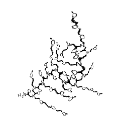 COCCOCCOCCN(CC(N)=O)C(=O)CN(CCOC)C(=O)CN(CCOCCOCCOC)C(=O)CN(CCOC)C(=O)CN(CCOCCOCCOC)C(=O)CN(CCOC)C(=O)CN(CCOCCOCCOC)C(=O)CN(CCOC)C(=O)CN(CCOCCOCCOC)C(=O)CN(CCOC)C(=O)CN(CCOCCOCCOC)C(=O)CN(C)CCOC